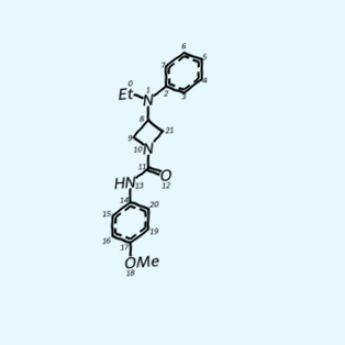 CCN(c1ccccc1)C1CN(C(=O)Nc2ccc(OC)cc2)C1